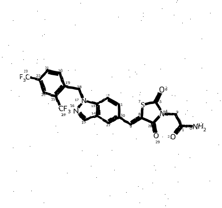 NC(=O)CN1C(=O)S/C(=C\c2ccc3c(cnn3Cc3ccc(C(F)(F)F)cc3C(F)(F)F)c2)C1=O